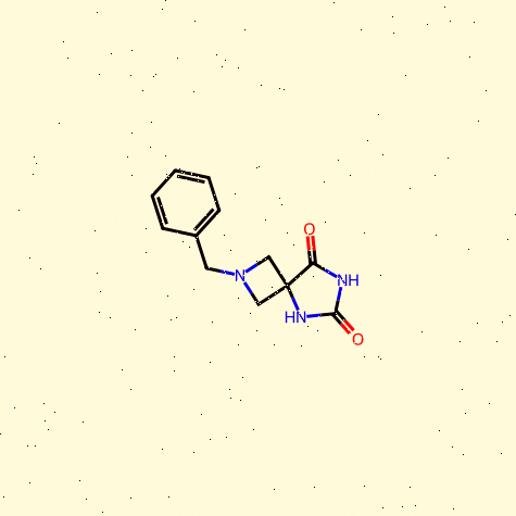 O=C1NC(=O)C2(CN(Cc3ccccc3)C2)N1